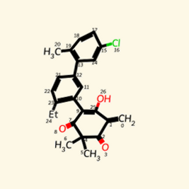 C=C1C(=O)C(C)(C)C(=O)C(c2cc(-c3cc(Cl)ccc3C)ccc2CC)=C1O